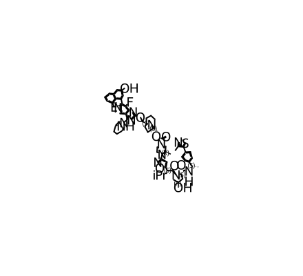 CCc1cccc2cc(O)cc(-c3ncc4c(N5CC6CCC(C5)N6)nc(OC[C@@]56CCCN5[C@H](COC(=O)N5CCN(c7cc([C@@H](C(=O)N8C[C@H](O)C[C@H]8C(=O)N[C@@H](C)c8ccc(-c9scnc9C)cc8)C(C)C)on7)[C@H](C)C5)CC6)nc4c3F)c12